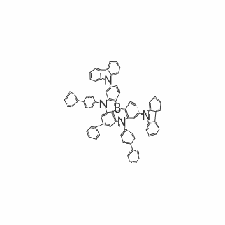 c1ccc(-c2ccc(N3c4cc(-n5c6ccccc6c6ccccc65)ccc4B4c5ccc(-n6c7ccccc7c7ccccc76)cc5N(c5ccc(-c6ccccc6)cc5)c5cc(-c6ccccc6)cc3c54)cc2)cc1